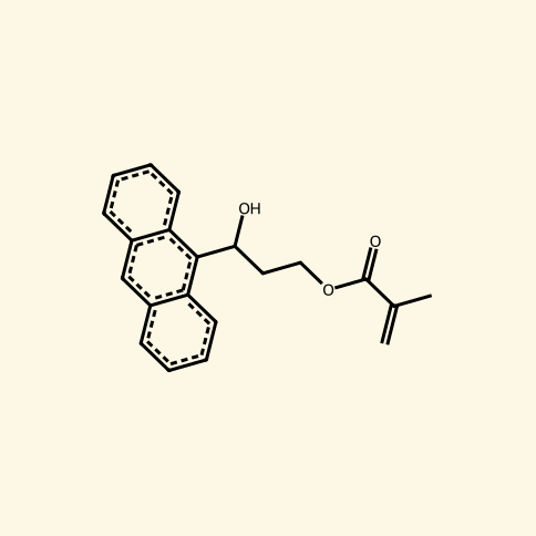 C=C(C)C(=O)OCCC(O)c1c2ccccc2cc2ccccc12